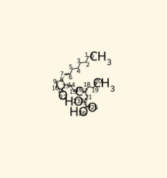 CCCCCCC=C[C@H]1C=CC(=O)[C@@H]1CC=C=C(CCC)CC(O)C(=O)O